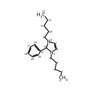 CCCCCN1C=CN(CCCCC)C1c1ccccc1